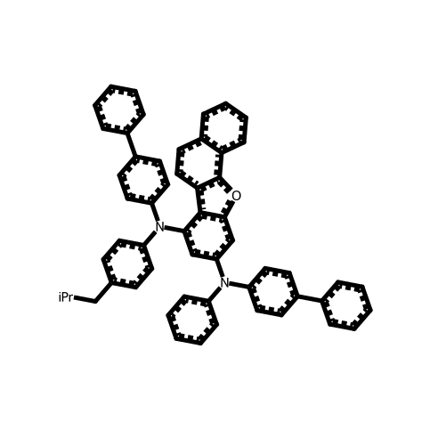 CC(C)Cc1ccc(N(c2ccc(-c3ccccc3)cc2)c2cc(N(c3ccccc3)c3ccc(-c4ccccc4)cc3)cc3oc4c5ccccc5ccc4c23)cc1